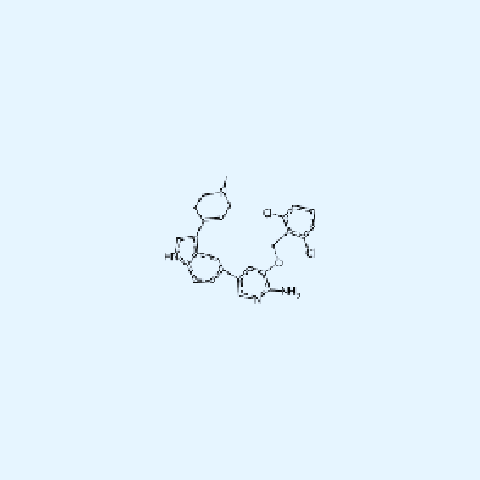 CN1CC=C(c2c[nH]c3ccc(-c4cnc(N)c(OCc5c(Cl)cccc5Cl)c4)cc23)CC1